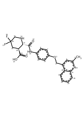 Cc1cc(COc2ccc(NC(=O)[C@H]3NCC(F)(F)C[C@@H]3C(=O)O)cc2)c2ccccc2n1